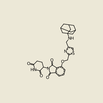 O=C1CCC(N2C(=O)c3cccc(OCc4nc(CNC56CC7CC(CC(C7)C5)C6)cs4)c3C2=O)C(=O)N1